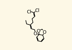 CCC(=CCOC12C=CC=CC1OCO2)CCC=C(Cl)Cl